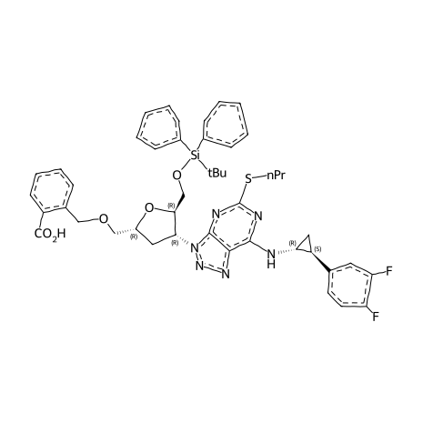 CCCSc1nc(N[C@@H]2C[C@H]2c2ccc(F)c(F)c2)c2nnn([C@@H]3C[C@H](COCc4ccccc4C(=O)O)O[C@H]3CO[Si](c3ccccc3)(c3ccccc3)C(C)(C)C)c2n1